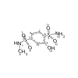 CNS(=O)(=O)c1ccc(S(N)(=O)=O)c(O)c1